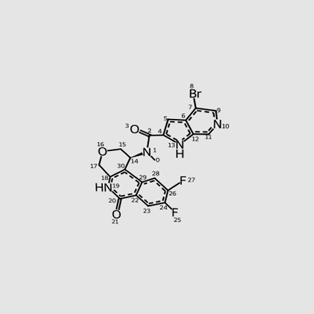 CN(C(=O)c1cc2c(Br)cncc2[nH]1)[C@@H]1COCc2[nH]c(=O)c3cc(F)c(F)cc3c21